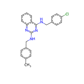 Cc1ccc(CNc2nc(NCc3ccc(Cl)cc3)c3ccccc3n2)cc1